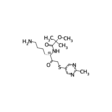 COC(C)(C)C(=O)N[C@@H](CCCCN)C(=O)CSc1cnc(C)nc1